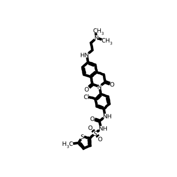 Cc1ccc(S(=O)(=O)NC(=O)Nc2ccc(N3C(=O)Cc4cc(NCCN(C)C)ccc4C3=O)c(Cl)c2)s1